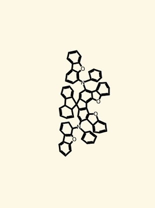 C1=CC2c3ccccc3C3(c4cc(N(c5ccccc5)c5cccc6c5oc5ccccc56)c5c(oc6ccccc65)c4-c4c3cc(N(c3ccccc3)C3CC=Cc5c3oc3ccccc53)c3c4oc4ccccc43)C2C=C1